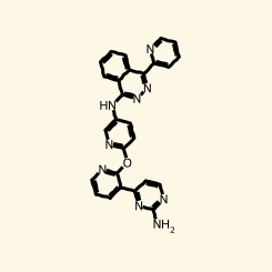 Nc1nccc(-c2cccnc2Oc2ccc(Nc3nnc(-c4ccccn4)c4ccccc34)cn2)n1